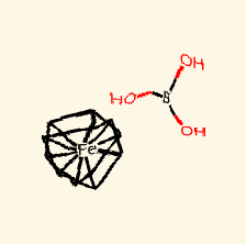 OB(O)O.[CH]12[CH]3[CH]4[CH]5[CH]1[Fe]23451678[CH]2[CH]1[CH]6[CH]7[CH]28